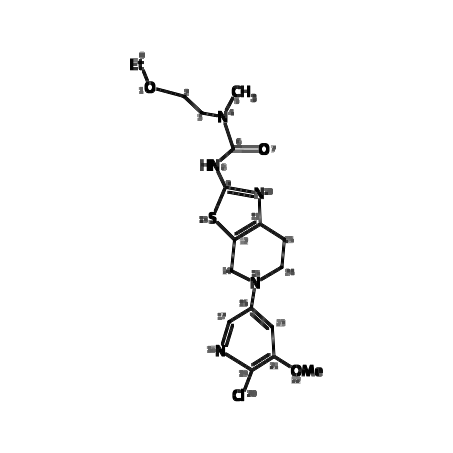 CCOCCN(C)C(=O)Nc1nc2c(s1)CN(c1cnc(Cl)c(OC)c1)CC2